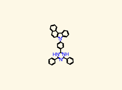 c1ccc(C2=NC(c3ccccc3)NC(c3ccc(-n4c5ccccc5c5c6ccccc6ccc54)cc3)N2)cc1